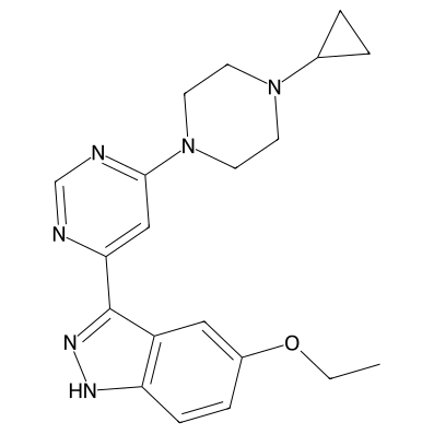 CCOc1ccc2[nH]nc(-c3cc(N4CCN(C5CC5)CC4)ncn3)c2c1